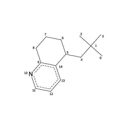 CC(C)(C)CC1CCCc2ncccc21